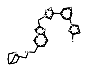 Clc1ccn(-c2cncc(-c3cn(Cc4cn5cc(CNCC6CC7CCN6CC7)ccc5n4)nn3)c2)n1